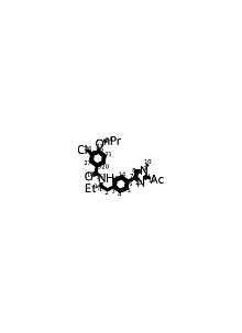 [CH2]C[C@@H](Cc1ccc(-c2cn(C)c(C(C)=O)n2)cc1)NC(=O)c1ccc(OCCC)c(Cl)c1